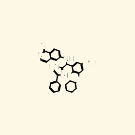 CCOc1cc(OC2CCCCC2)c(F)c(C(Nc2ccc3c(N)nccc3c2)c2nc(-c3ccccc3)c[nH]2)c1